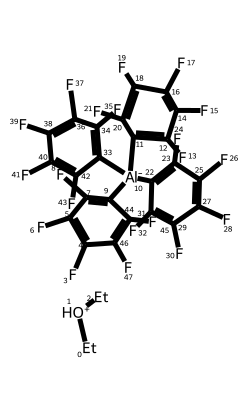 CC[OH+]CC.Fc1c(F)c(F)[c]([Al-]([c]2c(F)c(F)c(F)c(F)c2F)([c]2c(F)c(F)c(F)c(F)c2F)[c]2c(F)c(F)c(F)c(F)c2F)c(F)c1F